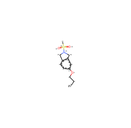 CC(C)CCOc1ccc2c(c1)CN(S(C)(=O)=O)C2